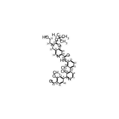 COc1cc(-c2nccc(-c3cccc(NC(=O)c4ccc(CN(CCO)C(=O)OC(C)(C)C)cn4)c3Cl)c2Cl)ccc1C=O